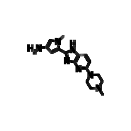 CN1CCN(c2ccc3[nH]c(-c4cc(N)cn4C)nc3n2)CC1